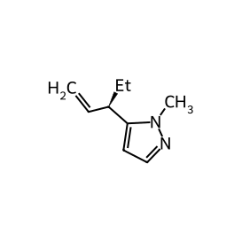 C=C[C@@H](CC)c1ccnn1C